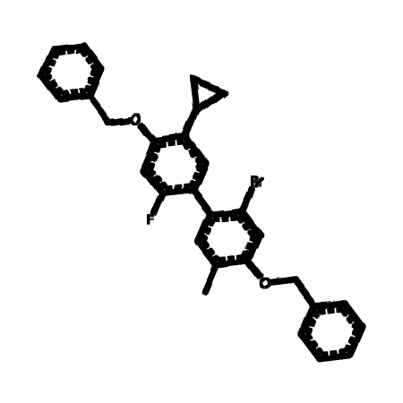 Cc1cc(-c2cc(C3CC3)c(OCc3ccccc3)cc2F)c(Br)cc1OCc1ccccc1